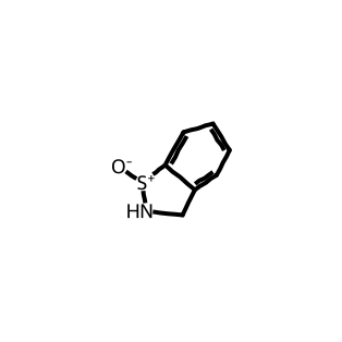 [O-][S+]1NCc2ccccc21